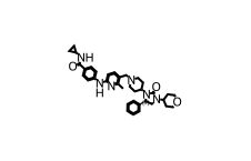 Cc1nc(Nc2ccc(C(=O)NC3CC3)cc2)ccc1CN1CCC(N2C(=O)N(C3CCOCC3)C[C@H]2c2ccccc2)CC1